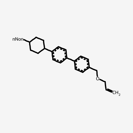 C=CCOCc1ccc(-c2ccc(C3CCC(CCCCCCCCC)CC3)cc2)cc1